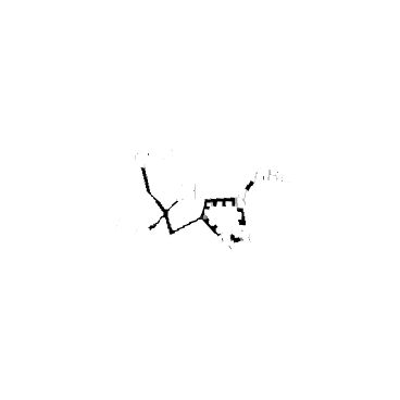 CCCCn1cc(CC(C)(C)CC=O)nn1